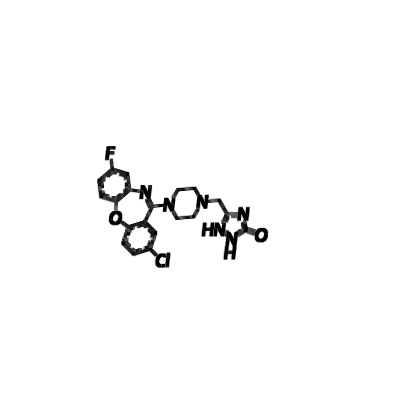 O=c1nc(CN2CCN(C3=Nc4cc(F)ccc4Oc4ccc(Cl)cc43)CC2)[nH][nH]1